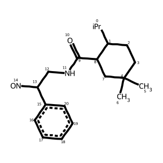 CC(C)C1CCC(C)(C)CC1C(=O)NCC(N=O)c1ccccc1